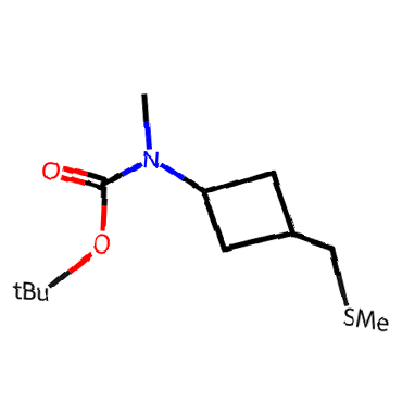 CSCC1CC(N(C)C(=O)OC(C)(C)C)C1